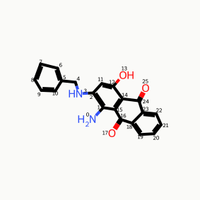 Nc1c(NCc2ccccc2)cc(O)c2c1C(=O)c1ccccc1C2=O